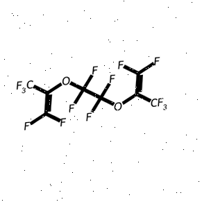 FC(F)=C(OC(F)(F)C(F)(F)OC(=C(F)F)C(F)(F)F)C(F)(F)F